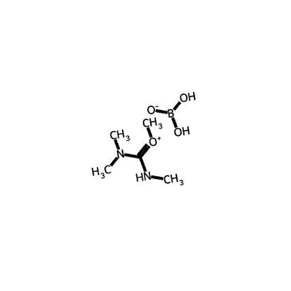 CNC(=[O+]C)N(C)C.[O-]B(O)O